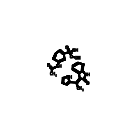 CC(=C1C(=O)Nc2ccccc21)c1ccc[nH]1.CC(=O)Nc1cccc([As](=O)(O)OO)c1